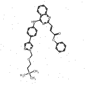 C[Si](C)(C)CCOCn1cc(-c2ccc(Nc3nc(C=CC(=O)Oc4ccccc4)nc4ccccc34)cc2)cn1